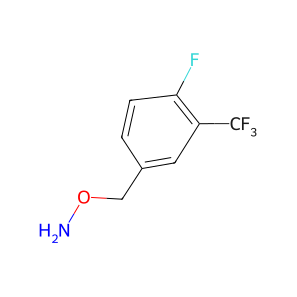 NOCc1ccc(F)c(C(F)(F)F)c1